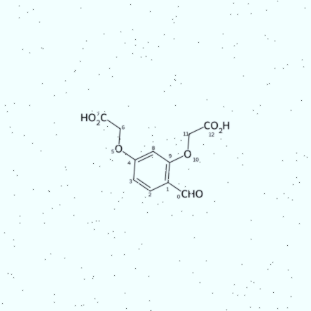 O=Cc1ccc(OCC(=O)O)cc1OCC(=O)O